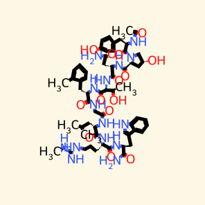 CNC(=N)NCCC[C@H](NC(=O)[C@H](CC(C)C)NC(=O)CNC(=O)[C@H](Cc1ccccc1C)NC(=O)[C@@H](NC(=O)[C@H](CC(N)=O)NC(=O)[C@@H]1C[C@@H](O)CN1C(=O)[C@@H](Cc1ccc(O)cc1)NC(C)=O)[C@@H](C)O)C(=O)N[C@@H](Cc1c[nH]c2ccccc12)C(N)=O